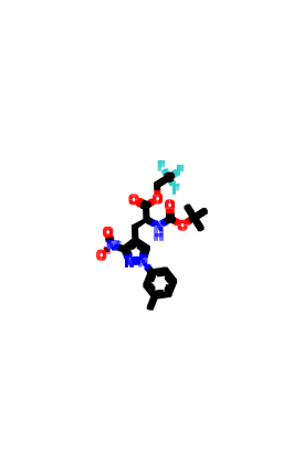 Cc1cccc(-n2cc(C[C@H](NC(=O)OC(C)(C)C)C(=O)OCC(F)(F)F)c([N+](=O)[O-])n2)c1